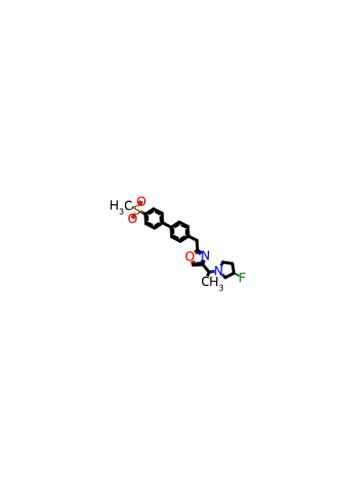 CC(c1coc(Cc2ccc(-c3ccc(S(C)(=O)=O)cc3)cc2)n1)N1CC[C@@H](F)C1